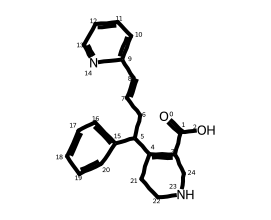 O=C(O)C1=C(C(CC=Cc2ccccn2)c2ccccc2)CCNC1